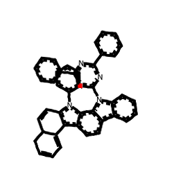 C1=CCC2C=Cc3c(c4ccc5c6ccccc6n(-c6nc(-c7ccccc7)nc(-c7ccccc7)n6)c5c4n3-c3ccccc3)C2=C1